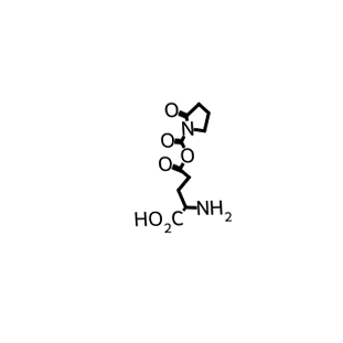 N[C@H](CCC(=O)OC(=O)N1CCCC1=O)C(=O)O